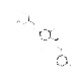 CCSc1nc(NCC2CCCC(OC)C2)cc(C)c1C(=O)NCc1cccc(F)c1